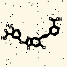 Cc1ccc(Oc2nc3cc(C#Cc4cccc(C(=O)O)c4)c(Cl)cc3[nH]2)cc1C(=O)O